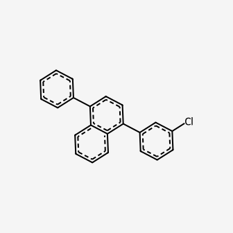 Clc1cccc(-c2ccc(-c3ccccc3)c3ccccc23)c1